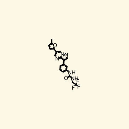 Cc1ccc(-c2cnc3c(-c4cccc(NC(=O)NCC(F)(F)F)c4)cnn3c2)o1